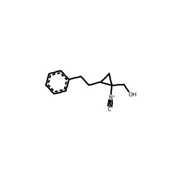 [C-]#[N+]C1(CO)CC1CCc1ccccc1